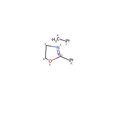 CC(C)C1=NCCO1.[CH2]C(C)C